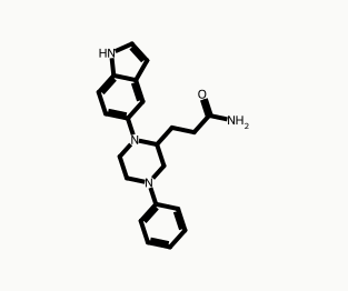 NC(=O)CCC1CN(c2ccccc2)CCN1c1ccc2[nH]ccc2c1